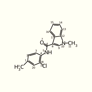 Cc1ccc(NC(=O)c2cn(C)c3ccccc23)c(Cl)c1